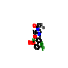 O=C(N1CCN2Cc3cc(F)c(-c4c(O)cccc4C(F)F)c(F)c3OC[C@H]2C1)C(F)(F)F